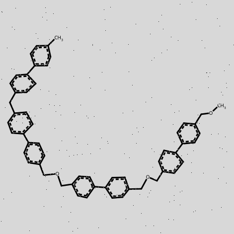 COCc1ccc(-c2ccc(COCc3ccc(-c4ccc(COCc5ccc(-c6ccc(Cc7ccc(-c8ccc(C)cc8)cc7)cc6)cc5)cc4)cc3)cc2)cc1